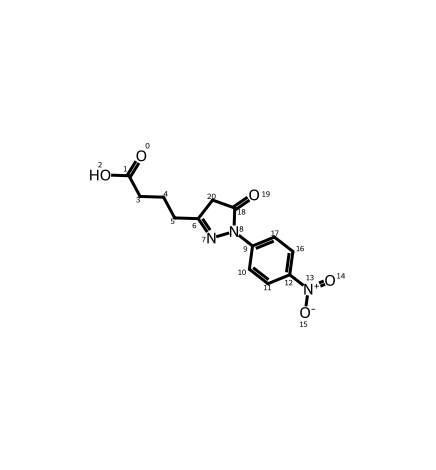 O=C(O)CCCC1=NN(c2ccc([N+](=O)[O-])cc2)C(=O)C1